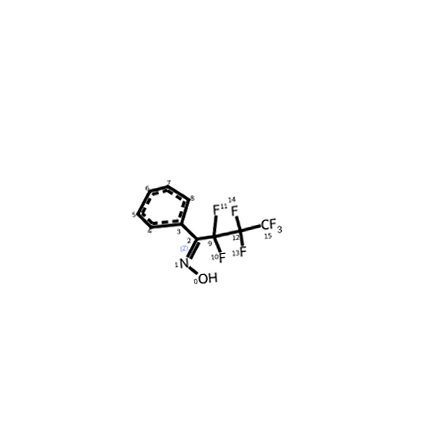 O/N=C(/c1ccccc1)C(F)(F)C(F)(F)C(F)(F)F